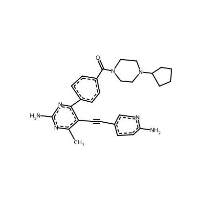 Cc1nc(N)nc(-c2ccc(C(=O)N3CCN(C4CCCC4)CC3)cc2)c1C#Cc1ccc(N)nc1